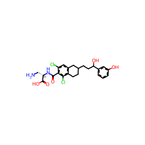 NC[C@H](NC(=O)c1c(Cl)cc2c(c1Cl)CCC(CCC(O)c1cccc(O)c1)C2)C(=O)O